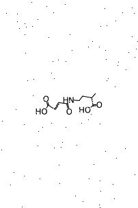 CC(CCNC(=O)C=CC(=O)O)C(=O)O